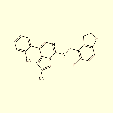 N#Cc1cn2c(NCc3c(F)ccc4c3CCO4)ncc(-c3ccccc3C#N)c2n1